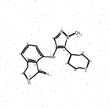 Cn1ncc(Nc2cccc3c2C(=O)NC3)c1C1CCOCC1